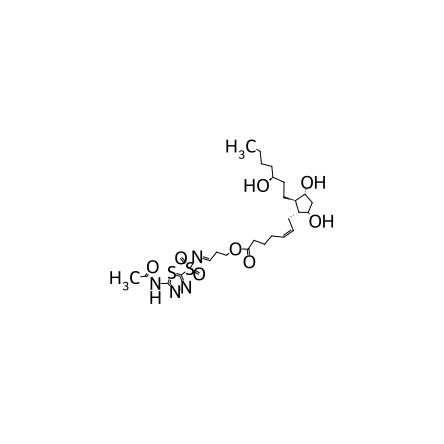 CCCC[C@H](O)CC[C@@H]1[C@@H](C/C=C\CCCC(=O)OCC/C=N/S(=O)(=O)c2nnc(NC(C)=O)s2)[C@@H](O)C[C@H]1O